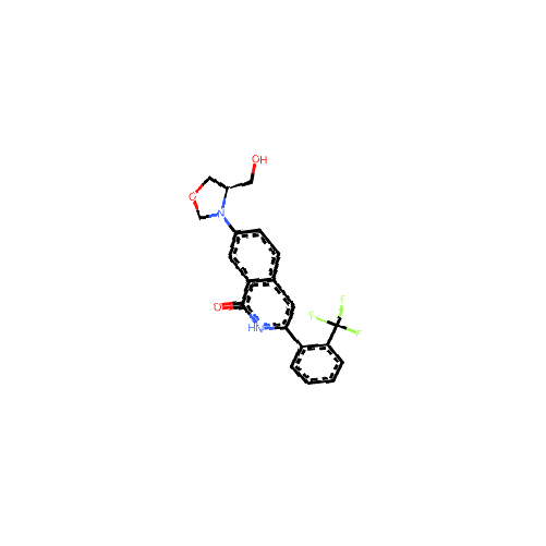 O=c1[nH]c(-c2ccccc2C(F)(F)F)cc2ccc(N3COC[C@H]3CO)cc12